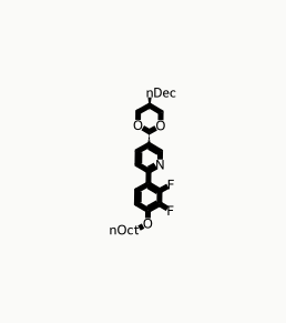 CCCCCCCCCC[C@H]1CO[C@H](c2ccc(-c3ccc(OCCCCCCCC)c(F)c3F)nc2)OC1